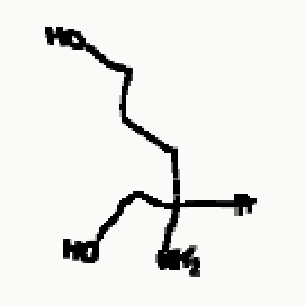 CC(C)C(N)(CO)CCCO